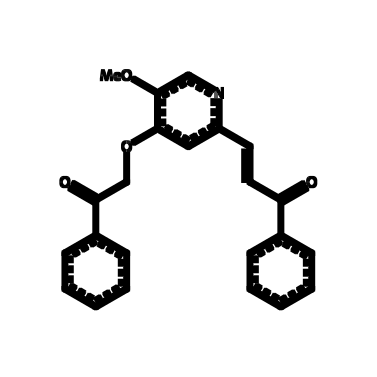 COc1cnc(C=CC(=O)c2ccccc2)cc1OCC(=O)c1ccccc1